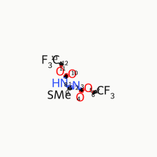 CS/C(=N\C(=O)OCC(F)(F)F)NC(=O)OCC(F)(F)F